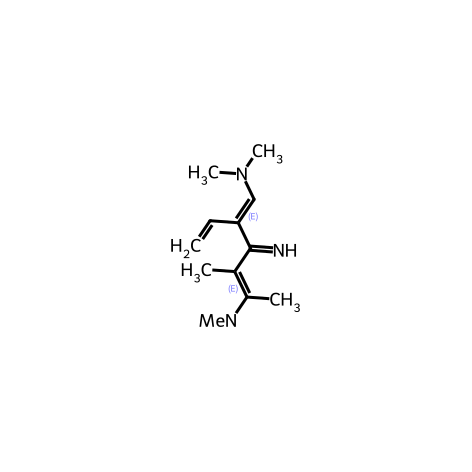 C=C/C(=C\N(C)C)C(=N)/C(C)=C(\C)NC